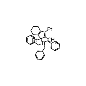 CCC1=C(C)[C](CC)([Ti]([CH2]c2ccccc2)([CH2]c2ccccc2)[CH2]c2ccccc2)C2=C1CCCC2